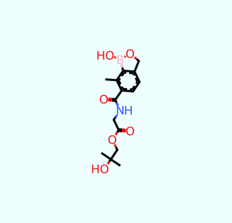 Cc1c(C(=O)NCC(=O)OCC(C)(C)O)ccc2c1B(O)OC2